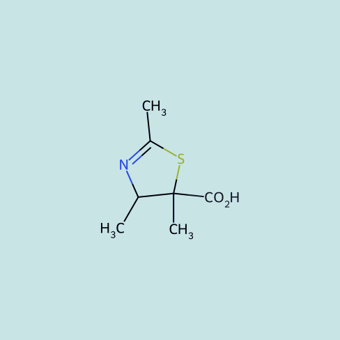 CC1=NC(C)C(C)(C(=O)O)S1